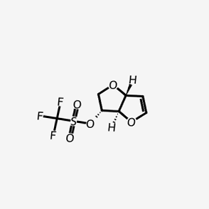 O=S(=O)(O[C@@H]1CO[C@@H]2C=CO[C@H]21)C(F)(F)F